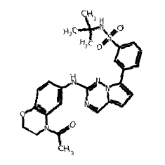 CC(=O)N1CCOc2ccc(Nc3ncc4ccc(-c5cccc(S(=O)(=O)NC(C)(C)C)c5)n4n3)cc21